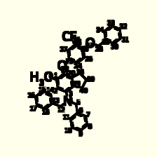 Cc1cc(N(Cc2ccccc2)Cc2ccccc2)c2c(c1Oc1ccc(OCc3ccccc3)c(C(F)(F)F)c1)CCC2